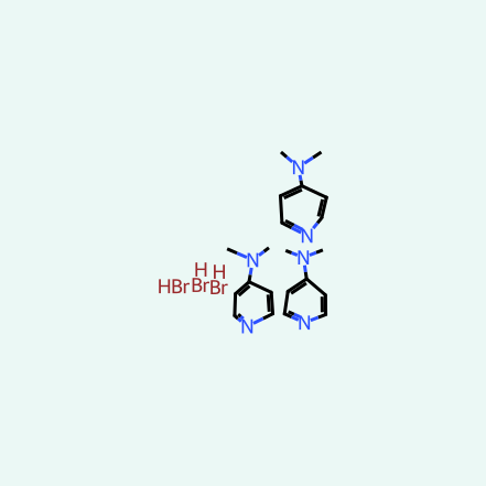 Br.Br.Br.CN(C)c1ccncc1.CN(C)c1ccncc1.CN(C)c1ccncc1